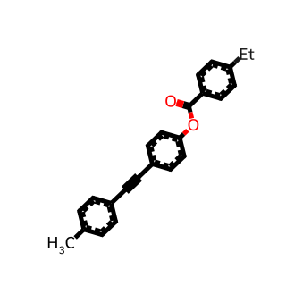 CCc1ccc(C(=O)Oc2ccc(C#Cc3ccc(C)cc3)cc2)cc1